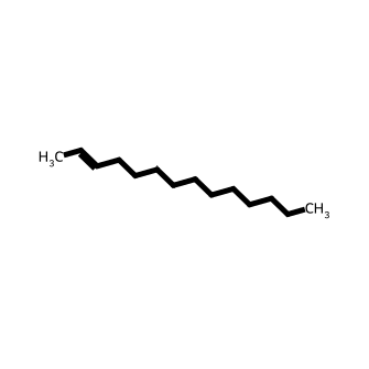 CC=CCC[CH]CCCCCCCC